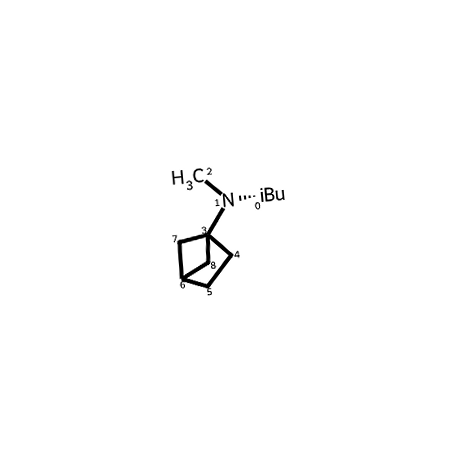 CC[C@@H](C)N(C)C12CCC(C1)C2